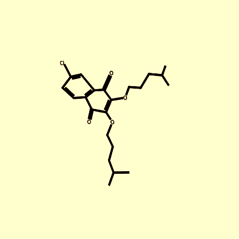 CC(C)CCCOC1=C(OCCCC(C)C)C(=O)c2cc(Cl)ccc2C1=O